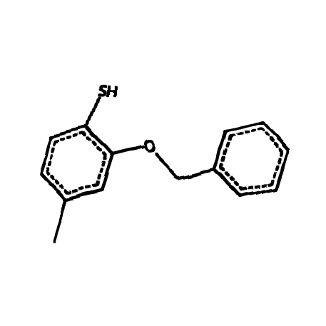 Cc1ccc(S)c(OCc2ccccc2)c1